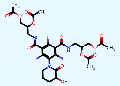 CC(=O)OCC(CNC(=O)c1c(I)c(C(=O)NCC(COC(C)=O)OC(C)=O)c(I)c(N2CCCC(O)C2=O)c1I)OC(C)=O